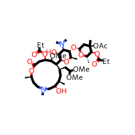 CCC(=O)O[C@@H]1CC(=O)O[C@H](C)CCN(C)C[C@H](O)[C@H](C)C[C@H](CC(OC)OC)[C@H]([C@@H]2O[C@H](C)[C@@H](O[C@@H]3C[C@@](C)(OC(C)=O)[C@@H](OC(=O)CC)[C@H](C)O3)[C@H](N(C)C)[C@H]2O)[C@@H]1OC